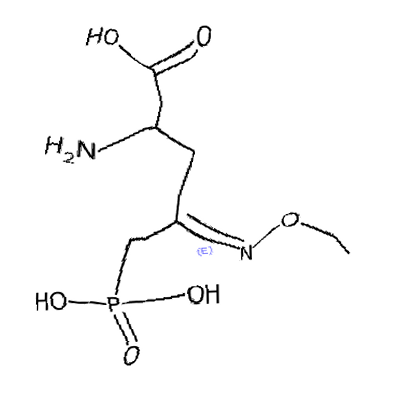 CO/N=C(\CC(N)C(=O)O)CP(=O)(O)O